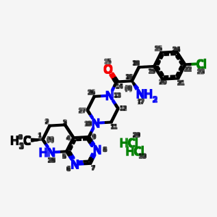 C[C@H]1CCc2c(ncnc2N2CCN(C(=O)[C@H](N)Cc3ccc(Cl)cc3)CC2)N1.Cl.Cl